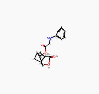 O=C(CNc1ccccc1)OC1C2CC3C(=O)OC1C3C2